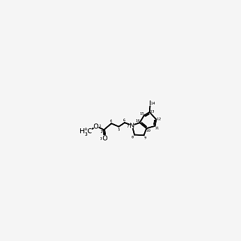 COC(=O)CCCN1CCc2ccc(I)cc21